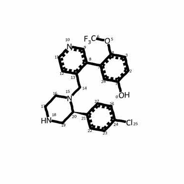 Oc1ccc(OC(F)(F)F)c(-c2cnccc2CN2CCNC[C@@H]2c2ccc(Cl)cc2)c1